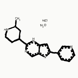 CC1CC(c2ncc3nc(-c4cccnc4)cc-3[nH]2)CCN1.Cl.O